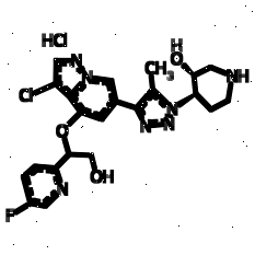 Cc1c(-c2cc(OC(CO)c3ccc(F)cn3)c3c(Cl)cnn3c2)nnn1[C@@H]1CCNC[C@@H]1O.Cl